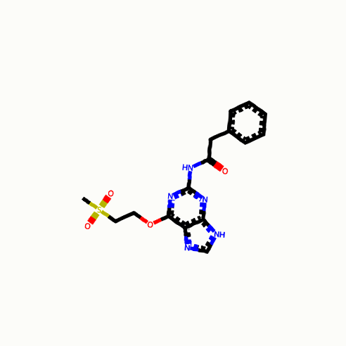 CS(=O)(=O)CCOc1nc(NC(=O)Cc2ccccc2)nc2[nH]cnc12